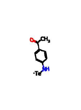 CC(=O)c1ccc(N[Te])cc1